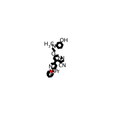 CC(C)CN1C2CC1CN(c1ccc(-c3cc(OCCN(C)C4CCCC(O)C4)cn4ncc(C#N)c34)cn1)C2